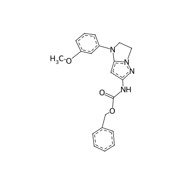 COc1cccc(N2CCn3nc(NC(=O)OCc4ccccc4)cc32)c1